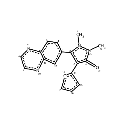 Cn1c(-c2ccc3nccnc3c2)c(-c2ccco2)c(=O)n1C